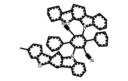 Cc1ccc2c(c1)oc1cc3c4ccccc4n(-c4c(C#N)c(-c5ccccc5)c(-n5c6ccccc6c6ccc7c8ccccc8oc7c65)c(C#N)c4-c4ccccc4)c3cc12